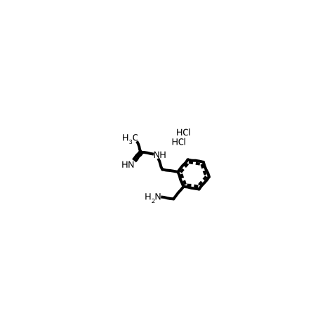 CC(=N)NCc1ccccc1CN.Cl.Cl